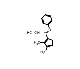 CC1=CC[C]([Ti][O]c2ccccc2)=C1C.Cl.Cl